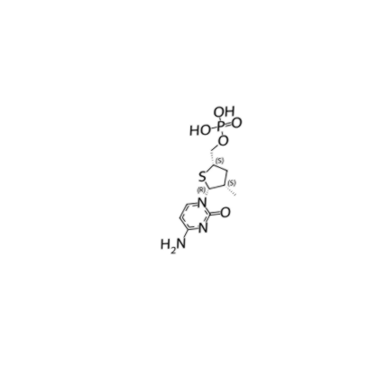 C[C@H]1C[C@@H](COP(=O)(O)O)S[C@H]1n1ccc(N)nc1=O